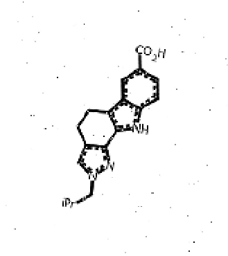 CC(C)Cn1cc2c(n1)-c1[nH]c3ccc(C(=O)O)cc3c1CC2